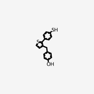 Oc1ccc(Cc2ccsc2-c2ccc(S)cc2)cc1